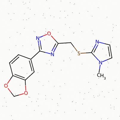 Cn1ccnc1SCc1nc(-c2ccc3c(c2)OCO3)no1